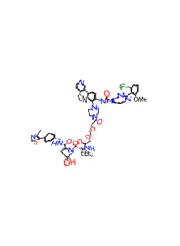 COc1cccc(F)c1-c1nccc(C(=O)Nc2ccc(-c3cnccc3C#N)cc2N2CCN(C(=O)COCCOCC(=O)N[C@H](C(=O)N3C[C@H](O)C[C@H]3C(=O)NCc3ccc(-c4scnc4C)cc3)C(C)(C)C)CC2)n1